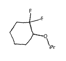 CC(C)OC1CCCCC1(F)F